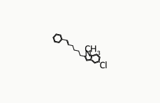 Cn1c(CCCCC=Cc2ccccc2)cc2cc(Cl)ccc21